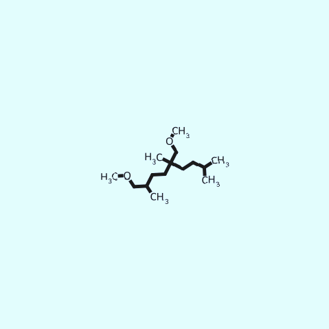 COCC(C)CCC(C)(CCC(C)C)COC